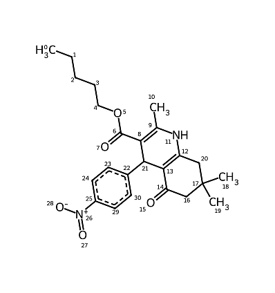 CCCCCOC(=O)C1=C(C)NC2=C(C(=O)CC(C)(C)C2)C1c1ccc([N+](=O)[O-])cc1